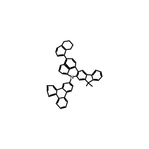 CC1(C)c2ccccc2-c2cc(-c3ccc(-c4cccc5c4CCCC5)cc3)c(N(c3ccccc3)c3ccc4c5ccccc5c5ccccc5c4c3)cc21